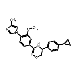 COc1nc(C2=NOCC(c3ccc(C4CC4)cc3)N2)ccc1-n1cnc(C)c1